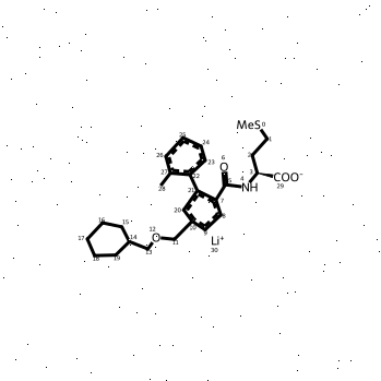 CSCC[C@H](NC(=O)c1ccc(COCC2CCCCC2)cc1-c1ccccc1C)C(=O)[O-].[Li+]